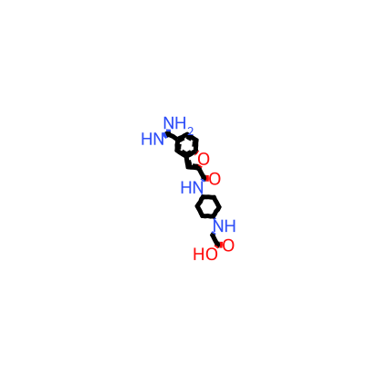 N=C(N)c1ccc2oc(C(=O)N[C@H]3CC[C@H](NCC(=O)O)CC3)cc2c1